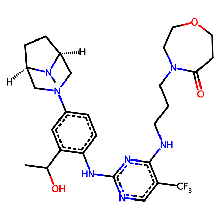 CC(O)c1cc(N2C[C@H]3CC[C@@H](C2)N3C)ccc1Nc1ncc(C(F)(F)F)c(NCCCN2CCOCCC2=O)n1